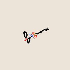 C[C@@H](NS(=O)(=O)CCCCCC(C)(C)C)c1cccc(OC2CCCC2)c1